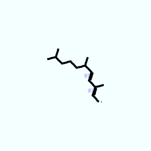 [CH2]/C=C(C)/C=C/C(C)CCCC(C)C